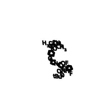 CC(C)(C)OC(=O)N[C@H]1C[C@@H](N2CC[C@@H](OC3=CCC(B4OC(C)(C)C(C)(C)O4)C=C3)C2)CO[C@@H]1c1cc(F)ccc1F